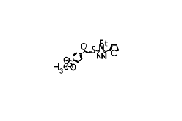 CCn1c(SCC(=O)c2ccc(S(C)(=O)=O)cc2)nnc1-c1ccco1